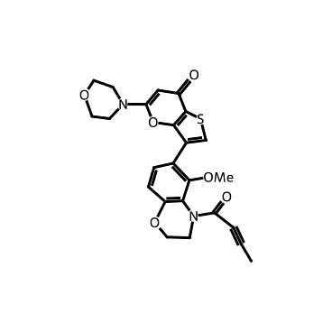 CC#CC(=O)N1CCOc2ccc(-c3csc4c(=O)cc(N5CCOCC5)oc34)c(OC)c21